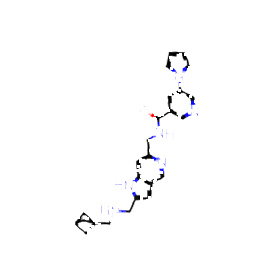 O=C(NCc1cc2[nH]c(CNCC34CC(C3)C4)cc2cn1)c1cncc(-n2cccc2)c1